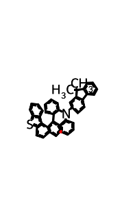 CC1(C)c2ccccc2-c2ccc(N(c3ccccc3)c3ccccc3-c3cccc4ccc5sc6ccccc6c5c34)cc21